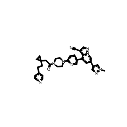 Cn1cc(-c2cc(-c3ccc(N4CCN(C(=O)CC5(CCc6ccncc6)CC5)CC4)nc3)c3c(C#N)cnn3c2)cn1